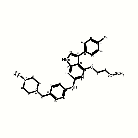 COCCOc1nc(Nc2ccc(CN3CCN(C)CC3)cc2)nc2[nH]cc(-c3ccc(F)cc3)c12